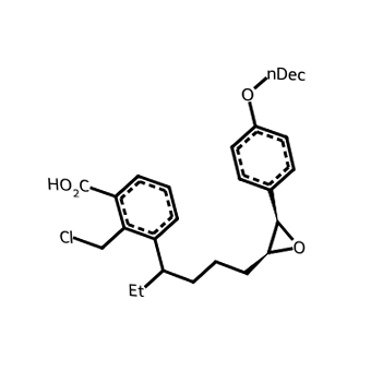 CCCCCCCCCCOc1ccc([C@H]2O[C@H]2CCCC(CC)c2cccc(C(=O)O)c2CCl)cc1